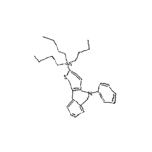 CCC[CH2][Sn]([CH2]CCC)([CH2]CCC)[c]1cc2c(s1)c1ccccc1n2-c1ccccc1